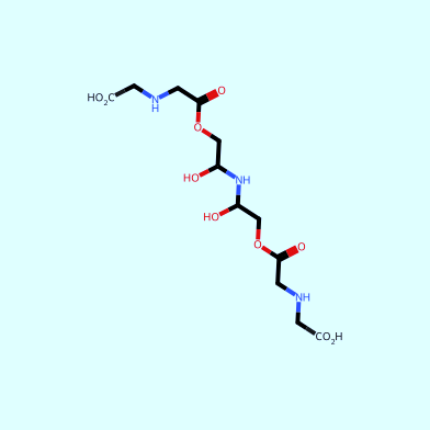 O=C(O)CNCC(=O)OCC(O)NC(O)COC(=O)CNCC(=O)O